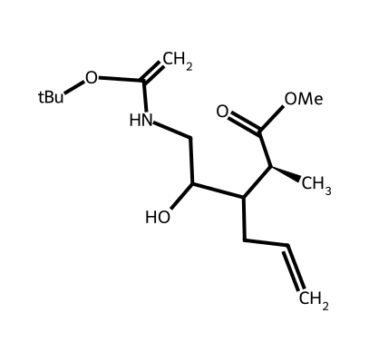 C=CCC(C(O)CNC(=C)OC(C)(C)C)[C@H](C)C(=O)OC